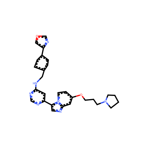 c1nc(NCc2ccc(-c3cocn3)cc2)cc(-c2cnc3cc(OCCCN4CCCC4)ccn23)n1